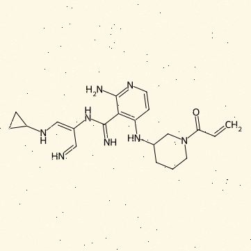 C=CC(=O)N1CCCC(Nc2ccnc(N)c2C(=N)N/C(C=N)=C/NC2CC2)C1